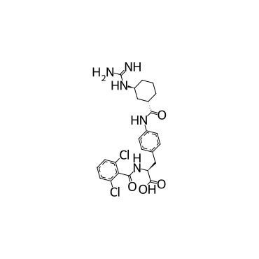 N=C(N)N[C@H]1CCC[C@H](C(=O)Nc2ccc(C[C@H](NC(=O)c3c(Cl)cccc3Cl)C(=O)O)cc2)C1